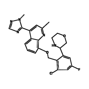 Cc1cc(-c2ncnn2C)c2cccc(OCc3c(Cl)cc(F)cc3C3COCCN3)c2n1